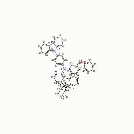 c1ccc2c(c1)-c1c(N(c3ccc(-n4c5ccccc5c5ccccc54)cc3)c3ccc4c(c3)oc3ccccc34)cccc1C21C23CC4CC(C2)CC31C4